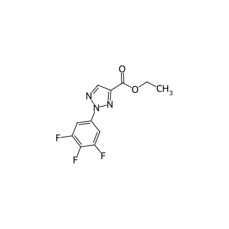 CCOC(=O)c1cnn(-c2cc(F)c(F)c(F)c2)n1